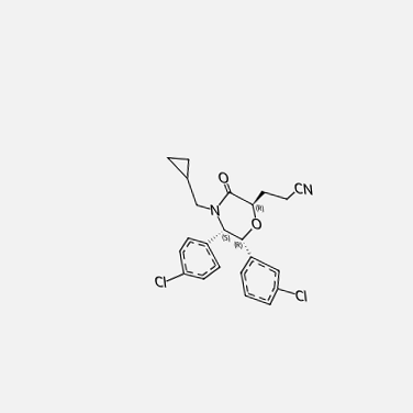 N#CCC[C@H]1O[C@H](c2cccc(Cl)c2)[C@H](c2ccc(Cl)cc2)N(CC2CC2)C1=O